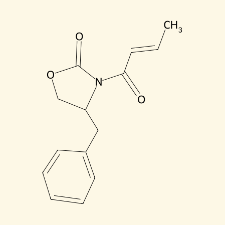 CC=CC(=O)N1C(=O)OCC1Cc1ccccc1